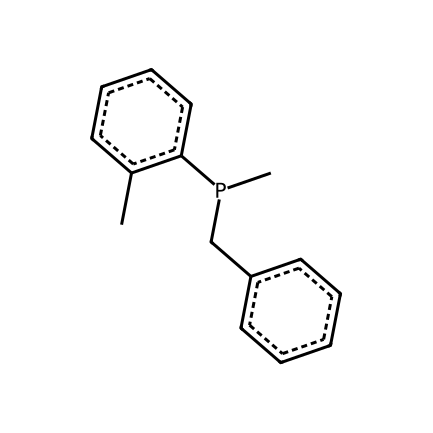 Cc1ccccc1P(C)Cc1ccccc1